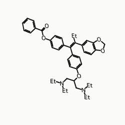 CCC(=C(c1ccc(OC(=O)c2ccccc2)cc1)c1ccc(OC(CN(CC)CC)CN(CC)CC)cc1)c1ccc2c(c1)OCO2